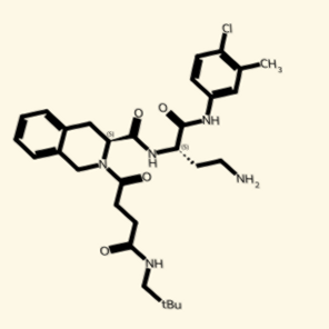 Cc1cc(NC(=O)[C@H](CCN)NC(=O)[C@@H]2Cc3ccccc3CN2C(=O)CCC(=O)NCC(C)(C)C)ccc1Cl